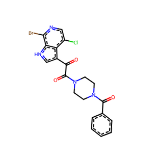 O=C(C(=O)N1CCN(C(=O)c2ccccc2)CC1)c1c[nH]c2c(Br)ncc(Cl)c12